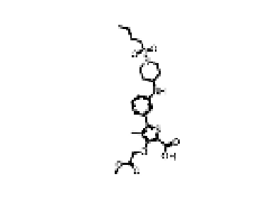 CCCCS(=O)(=O)N1CCC(Nc2cccc(-c3sc(C(=O)O)c(OCC(=O)OC)c3C)c2)CC1